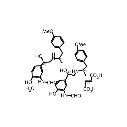 COc1ccc(C[C@@H](C)NC[C@H](O)c2ccc(O)c(NC=O)c2)cc1.COc1ccc(C[C@@H](C)NC[C@H](O)c2ccc(O)c(NC=O)c2)cc1.O.O=C(O)/C=C/C(=O)O